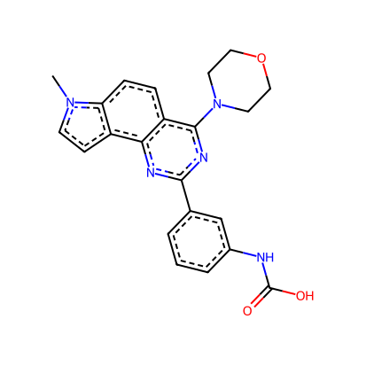 Cn1ccc2c3nc(-c4cccc(NC(=O)O)c4)nc(N4CCOCC4)c3ccc21